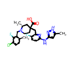 Cc1cc(Nc2ccc(F)c(CC3(C(=O)O)CCN(Cc4c(C)ccc(Cl)c4F)[C@H](C)C3)n2)n[nH]1